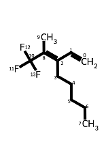 C=C/C(CCCCC)=C(\C)C(F)(F)F